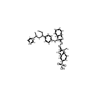 CCC(CC(C)n1ccnc1)c1ccc(Cn2c(=NN=c3sc4cc(S(=O)(=O)O)ccc4n3C)sc3ccccc32)cc1